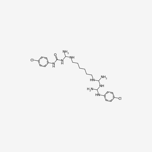 NC(NCCCCCCNC(N)NC(N)Nc1ccc(Cl)cc1)NC(=O)Nc1ccc(Cl)cc1